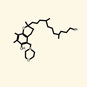 Cc1c(C)c2c(c(CN3CCOCC3)c1O)CCC(C)(CCCC(C)CCCC(C)CCCC(C)C)O2